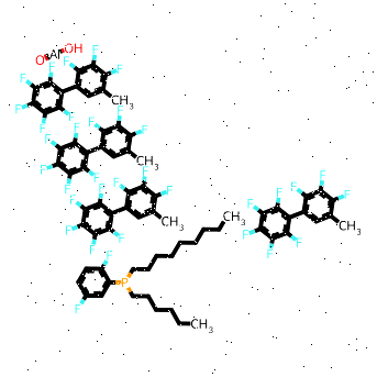 CCCCCCCCCP(CCCCCC)c1cc(F)ccc1F.Cc1cc(-c2c(F)c(F)c(F)c(F)c2F)c(F)c(F)c1F.Cc1cc(-c2c(F)c(F)c(F)c(F)c2F)c(F)c(F)c1F.Cc1cc(-c2c(F)c(F)c(F)c(F)c2F)c(F)c(F)c1F.Cc1cc(-c2c(F)c(F)c(F)c(F)c2F)c(F)c(F)c1F.[O]=[Al][OH]